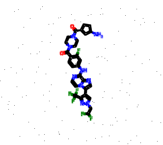 N[C@@H]1CC[C@H](C(=O)N2CCN(C(=O)c3ccc(Nc4nccn5c(-c6cn(CC(F)F)nc6C(F)(F)F)cnc45)cc3F)CC2)C1